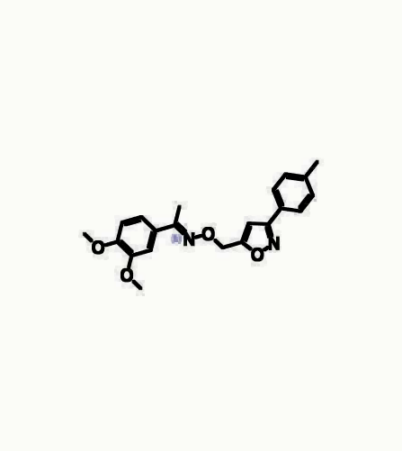 COc1ccc(/C(C)=N/OCc2cc(-c3ccc(C)cc3)no2)cc1OC